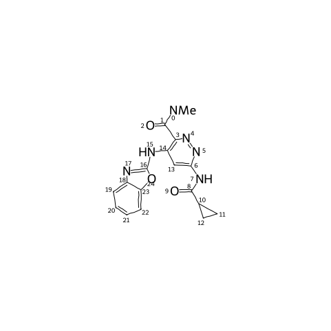 CNC(=O)c1nnc(NC(=O)C2CC2)cc1Nc1nc2ccccc2o1